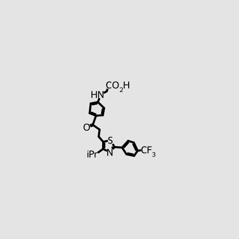 CC(C)c1nc(-c2ccc(C(F)(F)F)cc2)sc1CCC(=O)c1ccc(NCC(=O)O)cc1